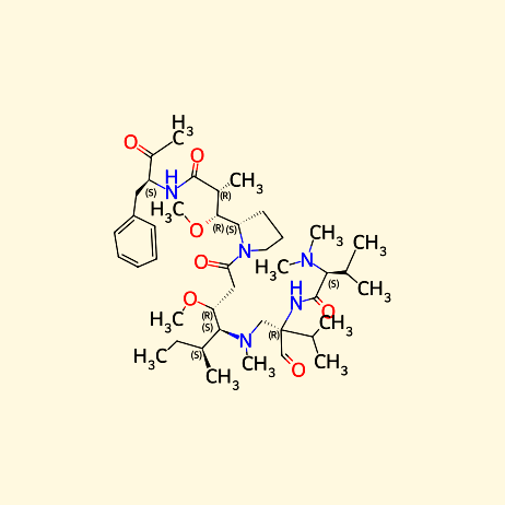 CC[C@H](C)[C@@H]([C@@H](CC(=O)N1CCC[C@H]1[C@H](OC)[C@@H](C)C(=O)N[C@@H](Cc1ccccc1)C(C)=O)OC)N(C)C[C@](C=O)(NC(=O)[C@H](C(C)C)N(C)C)C(C)C